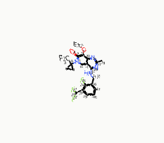 CCOc1c(=O)n(C2(C(F)(F)F)CC2)cc2c(N[C@H](C)c3cccc(C(F)F)c3F)nc(C)nc12